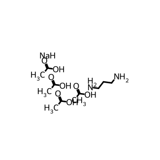 CC(=O)O.CC(=O)O.CC(=O)O.CC(=O)O.NCCCN.[NaH]